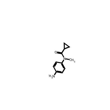 CN(C(=O)C1CC1)c1ccc(N)cc1